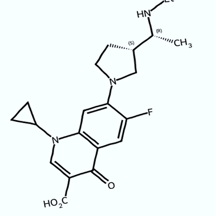 CCN[C@H](C)[C@H]1CCN(c2cc3c(cc2F)c(=O)c(C(=O)O)cn3C2CC2)C1